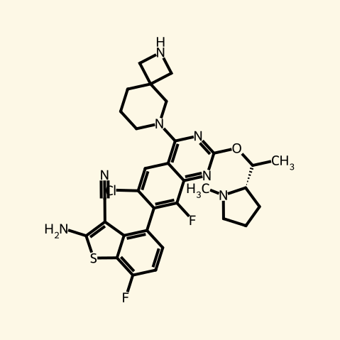 CC(Oc1nc(N2CCCC3(CNC3)C2)c2cc(Cl)c(-c3ccc(F)c4sc(N)c(C#N)c34)c(F)c2n1)[C@@H]1CCCN1C